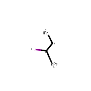 CC[CH]C(I)CC(C)C